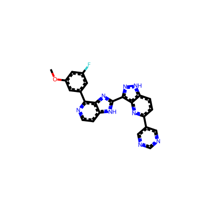 COc1cc(F)cc(-c2nccc3[nH]c(-c4n[nH]c5ccc(-c6cncnc6)nc45)nc23)c1